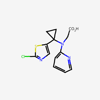 O=C(O)CN(c1ccccn1)C1(c2cnc(Cl)s2)CC1